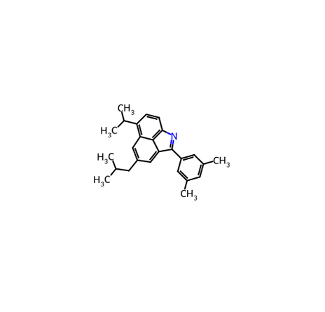 Cc1cc(C)cc(C2=Nc3ccc(C(C)C)c4cc(CC(C)C)cc2c34)c1